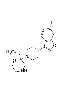 CCC1(N2CCC(c3noc4cc(F)ccc34)CC2)CNCCO1